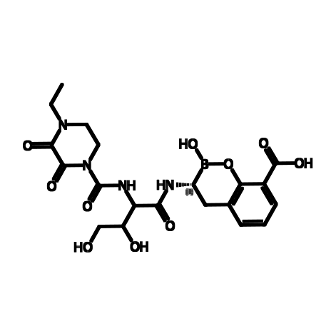 CCN1CCN(C(=O)NC(C(=O)N[C@H]2Cc3cccc(C(=O)O)c3OB2O)C(O)CO)C(=O)C1=O